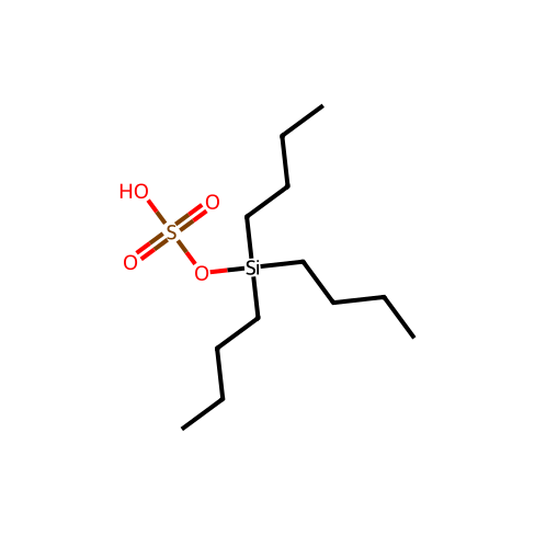 CCCC[Si](CCCC)(CCCC)OS(=O)(=O)O